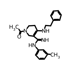 CC(=O)N1CCC(NCCc2ccccc2)=C(C(=N)Nc2cccc(C)c2)C1